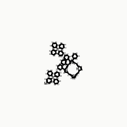 C1=Cc2cc3[nH]c(c(-c4ccccc4)c4nc(cc5ccc(cc1n2)[nH]5)C=C4c1ccccc1)c(-c1ccccc1)c3-c1ccccc1.[Mn+2].c1ccc([B-](c2ccccc2)(c2ccccc2)c2ccccc2)cc1.c1ccc([B-](c2ccccc2)(c2ccccc2)c2ccccc2)cc1